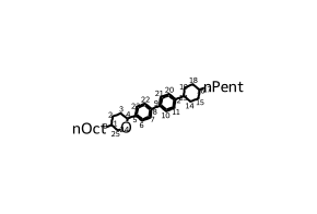 CCCCCCCCC1CCC(c2ccc(-c3ccc(C4CCC(CCCCC)CC4)cc3)cc2)OC1